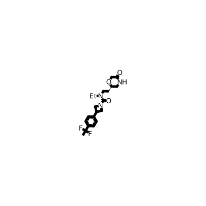 CCN(CC[C@H]1CNC(=O)CO1)C(=O)N1CC(c2ccc(C(C)(F)F)cc2)C1